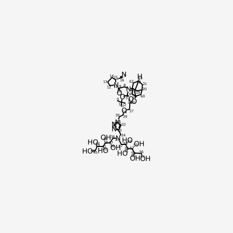 CC(C)(C)OC(=O)N(CC(=O)N1CCC[C@H]1C#N)C12CC3C[C@H](CC(OCCOCCn4cc(CN(C[C@H](O)[C@@H](O)[C@H](O)[C@H](O)CO)C[C@H](O)[C@@H](O)[C@H](O)[C@H](O)CO)nn4)(C3)C1)C2